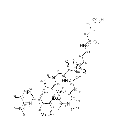 CC[C@H](C)[C@@H]([C@@H](CC(=O)N1CCC[C@H]1[C@H](OC)[C@@H](C)C(=O)N[C@@H](Cc1ccccc1)C(=O)NS(=O)(=O)CCCNC(=O)CCCC(=O)O)OC)N(C)C(=O)[C@@H](N=C(N(C)C)N(C)C)C(C)C